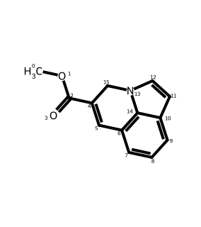 COC(=O)C1=Cc2cccc3ccn(c23)C1